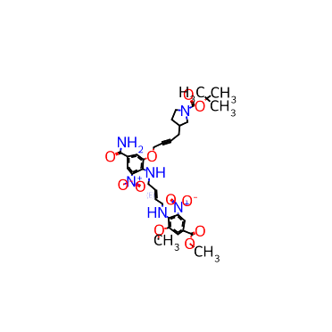 COC(=O)c1cc(OC)c(NC/C=C/CNc2c(OCC#CCC3CCN(C(=O)OC(C)(C)C)C3)cc(C(N)=O)cc2[N+](=O)[O-])c([N+](=O)[O-])c1